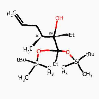 C=CC[C@H](C)[C@@](O)(CC)C(CC)(O[Si](C)(C)C(C)(C)C)O[Si](C)(C)C(C)(C)C